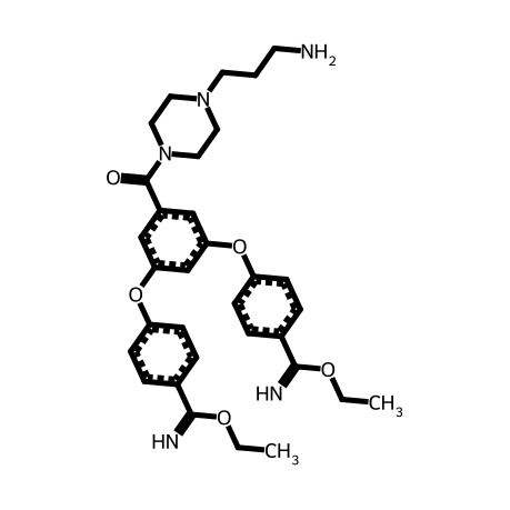 CCOC(=N)c1ccc(Oc2cc(Oc3ccc(C(=N)OCC)cc3)cc(C(=O)N3CCN(CCCN)CC3)c2)cc1